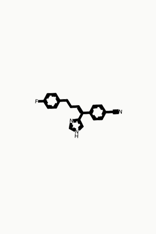 N#Cc1ccc(C(=CCCc2ccc(F)cc2)c2c[nH]cn2)cc1